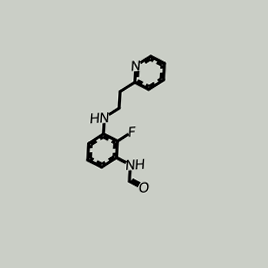 O=CNc1cccc(NCCc2ccccn2)c1F